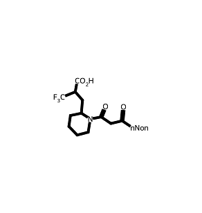 CCCCCCCCCC(=O)CC(=O)N1CCCCC1CC(C(=O)O)C(F)(F)F